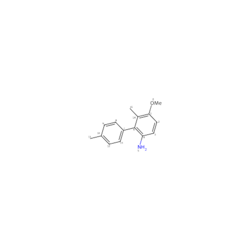 COc1ccc(N)c(-c2ccc(C)cc2)c1C